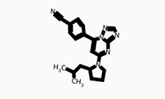 CC(C)CC1CCCN1c1cc(-c2ccc(C#N)cc2)n2ncnc2n1